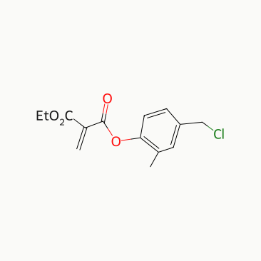 C=C(C(=O)OCC)C(=O)Oc1ccc(CCl)cc1C